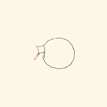 O=C1OC2CCCCCCCCCCCC/C=C\12